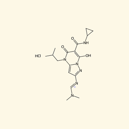 CC(C)Cn1c(=O)c(C(=O)NC2CC2)c(O)n2nc(/N=C/N(C)C)cc12.Cl